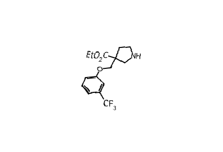 CCOC(=O)C1(COc2cccc(C(F)(F)F)c2)CCNC1